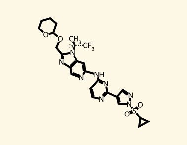 C[C@@H](n1c(COC2CCCCO2)nc2cnc(Nc3ccnc(-c4cnn(S(=O)(=O)C5CC5)c4)n3)cc21)C(F)(F)F